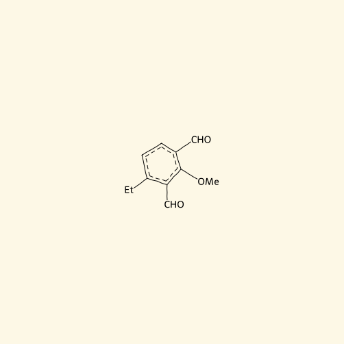 CCc1ccc(C=O)c(OC)c1C=O